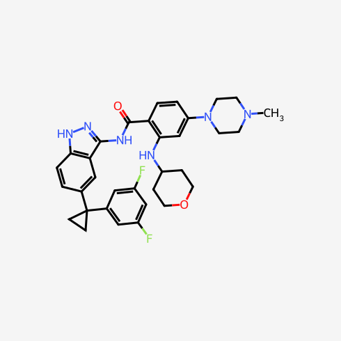 CN1CCN(c2ccc(C(=O)Nc3n[nH]c4ccc(C5(c6cc(F)cc(F)c6)CC5)cc34)c(NC3CCOCC3)c2)CC1